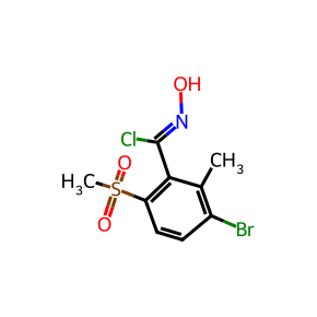 Cc1c(Br)ccc(S(C)(=O)=O)c1C(Cl)=NO